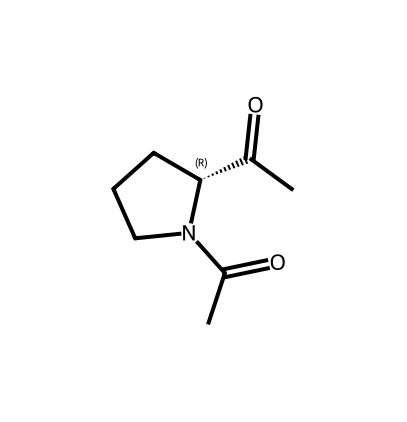 CC(=O)[C@H]1CCCN1C(C)=O